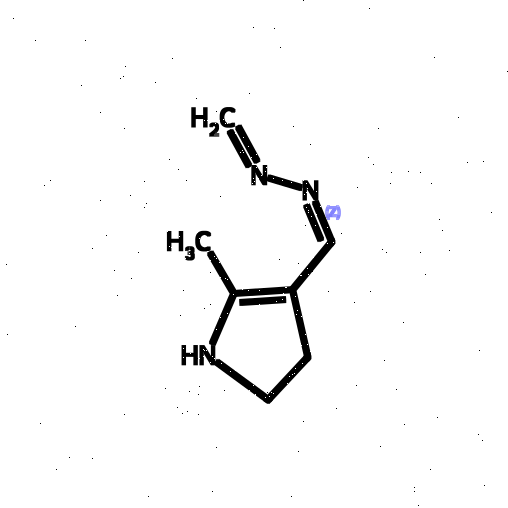 C=N/N=C\C1=C(C)NCC1